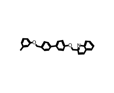 Cc1cccc(OCc2ccc(-c3ccc(OCc4ccc5ccccc5n4)cc3)cc2)c1